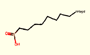 CCCCCCCCCCCCCCCS(=O)O